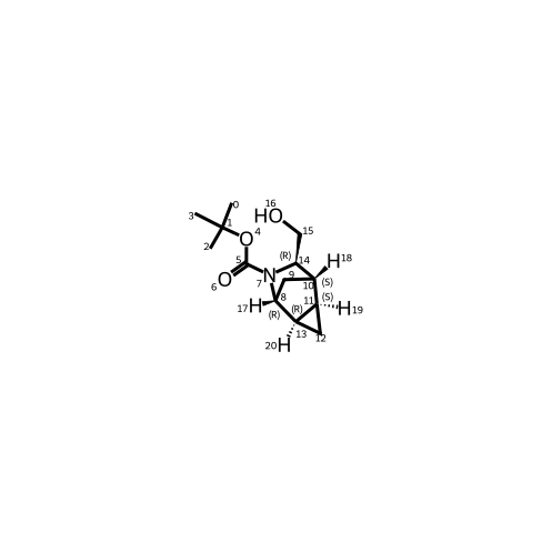 CC(C)(C)OC(=O)N1[C@@H]2C[C@@H]([C@H]3C[C@H]32)[C@@H]1CO